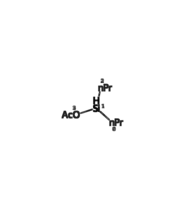 CCC[SiH](CCC)OC(C)=O